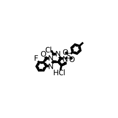 Cc1ccc(S(=O)(=O)n2cc(C)c3c2nc(Cl)n2c(=O)c4c(F)cccc4nc32)cc1.Cl